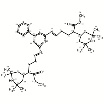 COC(=O)C(CCC=Nc1nc(N=CCCC(C(=O)OC)C2CC(C)(C)NC(C)(C)C2)nc(-c2ccccc2)n1)C1CC(C)(C)NC(C)(C)C1